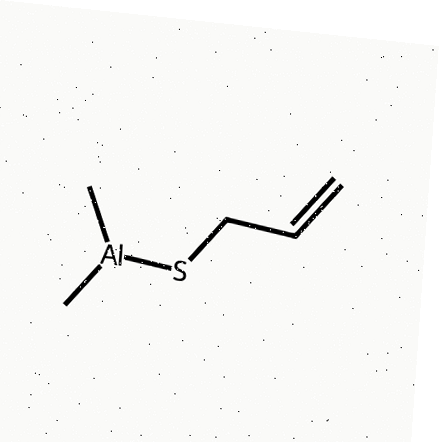 C=CC[S][Al]([CH3])[CH3]